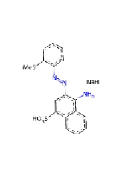 CSc1ccccc1/N=N/c1cc(S(=O)(=O)O)c2ccccc2c1N.[NaH]